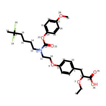 CCOC(Cc1ccc(OCCN(CCCCC(C)(F)F)C(=O)Oc2ccc(OC)cc2)cc1)C(=O)O